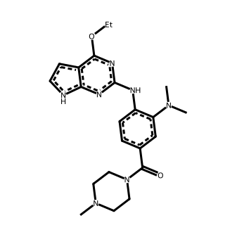 CCOc1nc(Nc2ccc(C(=O)N3CCN(C)CC3)cc2N(C)C)nc2[nH]ccc12